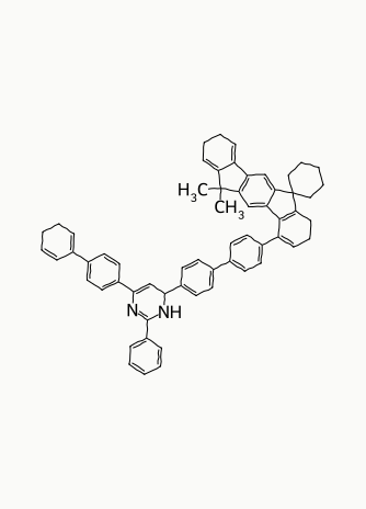 CC1(C)C2=CCCC=C2c2cc3c(cc21)C1=C(CCC=C1c1ccc(-c2ccc(C4C=C(c5ccc(C6=CCCC=C6)cc5)N=C(c5ccccc5)N4)cc2)cc1)C31CCCCC1